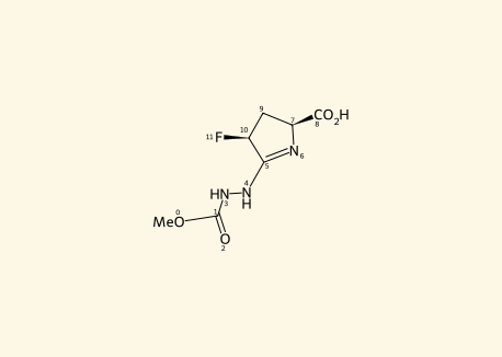 COC(=O)NNC1=N[C@H](C(=O)O)C[C@@H]1F